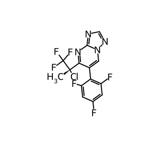 C[C@](Cl)(c1nc2ncnn2cc1-c1c(F)cc(F)cc1F)C(F)(F)F